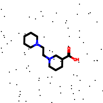 O=C(O)C1CCCN(CCN2CCCCC2)C1